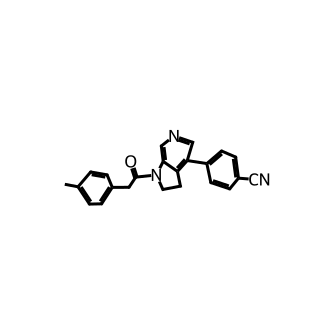 Cc1ccc(CC(=O)N2CCc3c(-c4ccc(C#N)cc4)cncc32)cc1